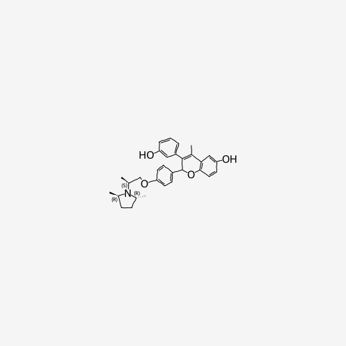 CC1=C(c2cccc(O)c2)C(c2ccc(OC[C@H](C)N3[C@H](C)CC[C@H]3C)cc2)Oc2ccc(O)cc21